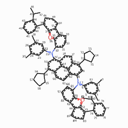 Cc1cc(C)cc(N(c2cc(C3CCCC3)c3ccc4c(N(c5cc(C)cc(C)c5)c5cccc6c5oc5c(-c7ccccc7C(C)C)cccc56)cc(C5CCCC5)c5ccc2c3c54)c2cccc3c2oc2c(-c4ccccc4C(C)C)cccc23)c1